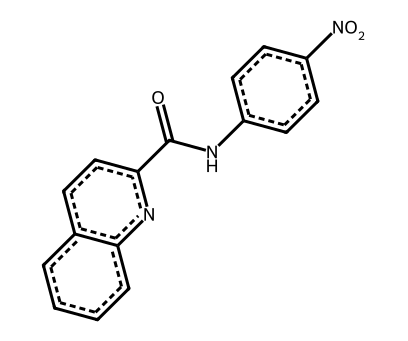 O=C(Nc1ccc([N+](=O)[O-])cc1)c1ccc2ccccc2n1